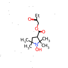 CCC(=O)COC(=O)C1CC(C)(C)N(O)C1(C)C